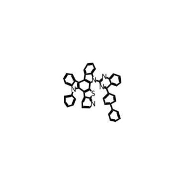 c1ccc(-c2ccc(-c3nc(-n4c5ccccc5c5c6c7ccccc7n(-c7ccccc7)c6c6c7cccnc7sc6c54)nc4ccccc34)cc2)cc1